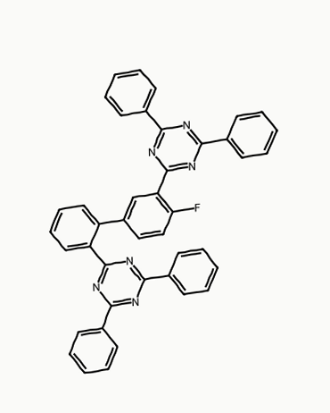 Fc1ccc(-c2ccccc2-c2nc(-c3ccccc3)nc(-c3ccccc3)n2)cc1-c1nc(-c2ccccc2)nc(-c2ccccc2)n1